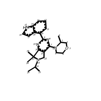 CC1COCCN1c1nc(-c2cccc3[nH]ccc23)nc2c1CN(C(C)C)C2(C)C